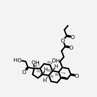 CCC(=O)OC(=O)CCCC1CC(=O)C=C2CC[C@@H]3[C@H]([C@@H](O)C[C@@]4(C)[C@H]3CC[C@]4(O)C(=O)CO)[C@]21C